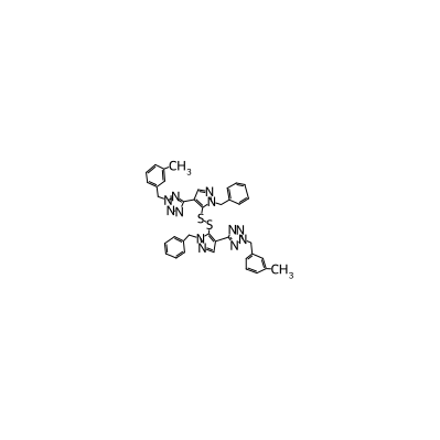 Cc1cccc(Cn2nnc(-c3cnn(Cc4ccccc4)c3SSc3c(-c4nnn(Cc5cccc(C)c5)n4)cnn3Cc3ccccc3)n2)c1